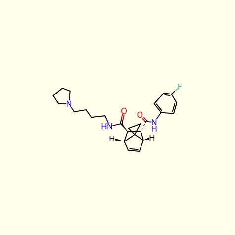 O=C(NCCCCN1CCCC1)[C@H]1[C@H](C(=O)Nc2ccc(F)cc2)[C@@H]2C=C[C@H]1C21CC1